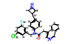 O=C(Cc1cncc2ccccc12)N(Cc1cc(F)cc(Cl)c1)c1ccc(C2CNC2)cc1